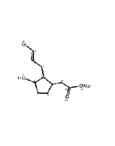 CC/C=C/CC1C(O)CCC1CC(=O)OC